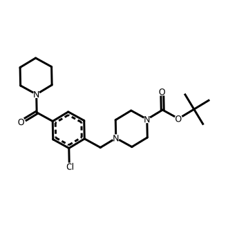 CC(C)(C)OC(=O)N1CCN(Cc2ccc(C(=O)N3CCCCC3)cc2Cl)CC1